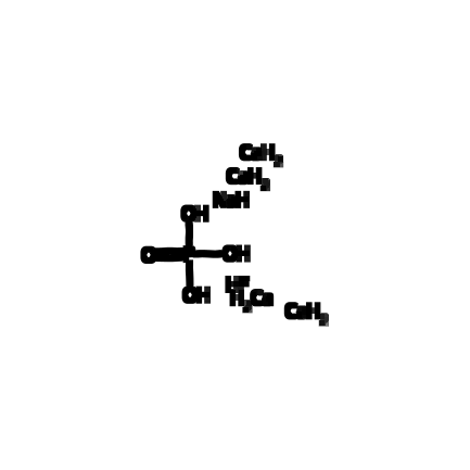 F.O=P(O)(O)O.[CaH2].[CaH2].[CaH2].[CaH2].[NaH]